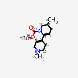 CC1CC=C(C2=CCN(C)CC2)N(C(=O)OC(C)(C)C)C1